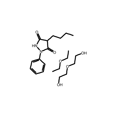 CCCCC1C(=O)NN(c2ccccc2)C1=O.CCOCC.OCCOCCO